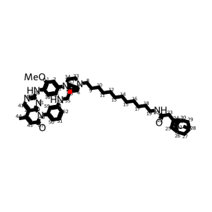 COc1cc(N2CCN(CCCCCCCCCCCCNC(=O)CC34CC5CC(CC3C5)C4)CC2)ccc1Nc1ncc2c(C)cc(=O)n(-c3cccc(NCC4CC4)c3)c2n1